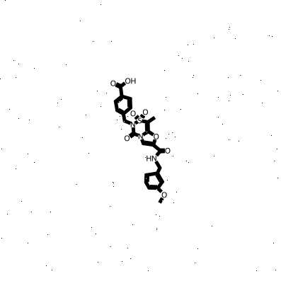 COc1cccc(CNC(=O)C2=CN3C(=O)N(Cc4ccc(C(=O)O)cc4)S(=O)(=O)C(C)=C3O2)c1